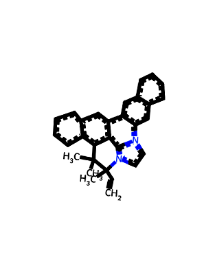 C=CC1(C)[n+]2ccn3c4cc5ccccc5cc4c4cc5ccccc5c(c4c32)C1(C)C